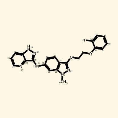 Cn1nc(OCCOc2ccccc2F)c2ccc(Nc3n[nH]c4cccnc34)cc21